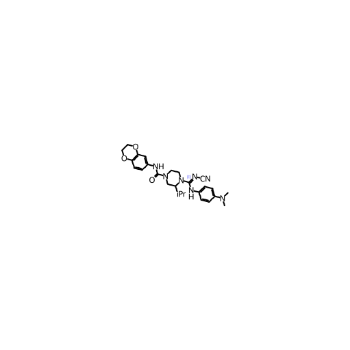 CC(C)C1CN(C(=O)Nc2ccc3c(c2)OCCO3)CCN1/C(=N/C#N)Nc1ccc(N(C)C)cc1